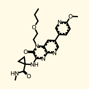 CCCOCCn1c(=O)c(NC2(C(=O)NC)CC2)nc2ncc(-c3ccc(OC)nc3)cc21